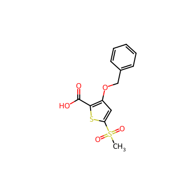 CS(=O)(=O)c1cc(OCc2ccccc2)c(C(=O)O)s1